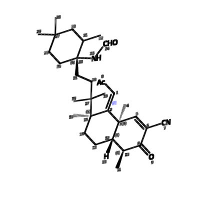 CC(=O)/C=C1/[C@@]2(C)C=C(C#N)C(=O)[C@@H](C)[C@@H]2CC[C@@]1(C)C(C)(C)CC[C@@]1(NC=O)CCC(C)(C)CC1C